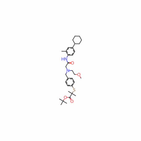 COCCN(CC(=O)Nc1ccc(C2CCCCC2)cc1C)Cc1ccc(SC(C)(C)C(=O)OC(C)(C)C)cc1